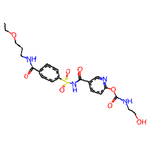 CCOCCCNC(=O)c1ccc(S(=O)(=O)NC(=O)c2ccc(OC(=O)NCCO)nc2)cc1